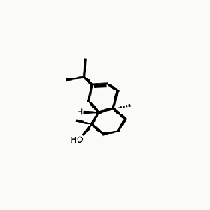 CC(C)C1=CC[C@@]2(C)CCC[C@](C)(O)[C@@H]2C1